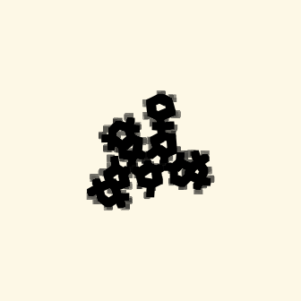 Cc1cc2c3c(c1)N(c1ccc4c(c1C)C(C)(C)CC4(C)C)c1ccc(C(C)(C)c4ccccc4)cc1B3c1cc3c(cc1N2c1cc2c(cc1C)C(C)(C)CCC2(C)C)C(C)(C)CCC3(C)C